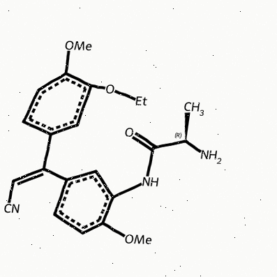 CCOc1cc(C(=CC#N)c2ccc(OC)c(NC(=O)[C@@H](C)N)c2)ccc1OC